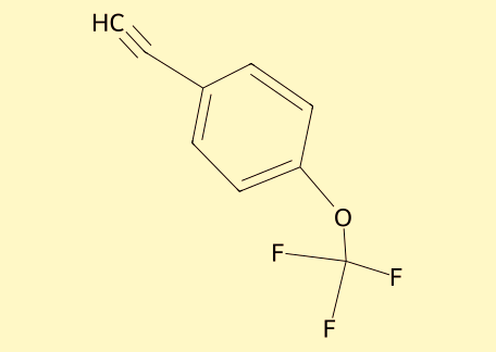 C#Cc1ccc(OC(F)(F)F)cc1